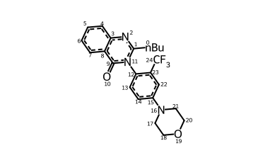 CCCCc1nc2ccccc2c(=O)n1-c1ccc(N2CCOCC2)cc1C(F)(F)F